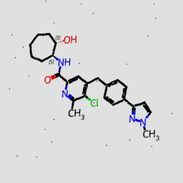 Cc1nc(C(=O)N[C@H]2CCCCC[C@@H]2O)cc(Cc2ccc(-c3ccn(C)n3)cc2)c1Cl